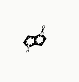 [O-][s+]1ccc2[nH]ccc21